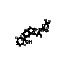 CC(CN1CCc2ccc(C3(O)CCSCC3)cc21)NC(=O)OC(C)(C)C